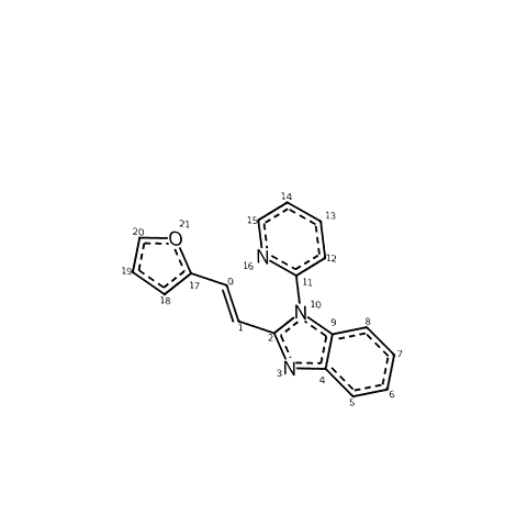 C(=Cc1nc2ccccc2n1-c1ccccn1)c1ccco1